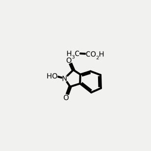 CC(=O)O.O=C1c2ccccc2C(=O)N1O